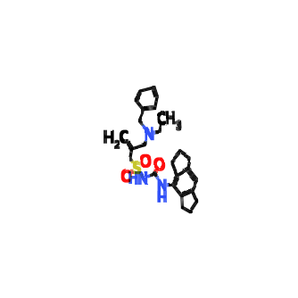 C=C(CN(CC)Cc1ccccc1)CS(=O)(=O)NC(=O)Nc1c2c(cc3c1CCC3)CCC2